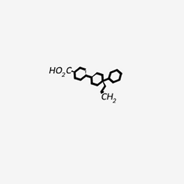 C=CC[C@]1(C2CCCCC2)CC[C@H]([C@H]2CC[C@H](C(=O)O)CC2)CC1